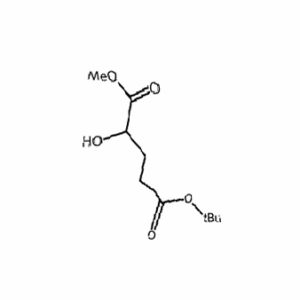 COC(=O)C(O)CCC(=O)OC(C)(C)C